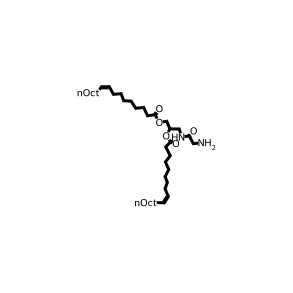 CCCCCCCC/C=C\CCCCCCCC(=O)OCC(CNC(=O)CN)OC(=O)CCCCCCC/C=C\CCCCCCCC